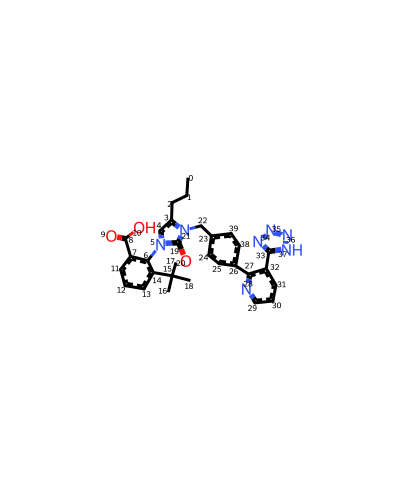 CCCc1cn(-c2c(C(=O)O)cccc2C(C)(C)C)c(=O)n1Cc1ccc(-c2ncccc2-c2nnn[nH]2)cc1